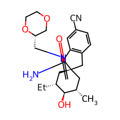 CC[C@@H]1C[C@@]2(Cc3ccc(C#N)cc3[C@]23N=C(N)N(C[C@H]2COCCO2)C3=O)C[C@H](C)[C@H]1O